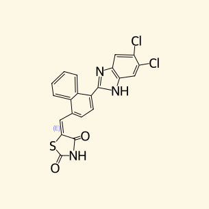 O=C1NC(=O)/C(=C\c2ccc(-c3nc4cc(Cl)c(Cl)cc4[nH]3)c3ccccc23)S1